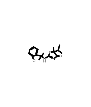 CC(C)C1(C)SC(NC(C)(C)c2ccccc2Cl)=NC1=O